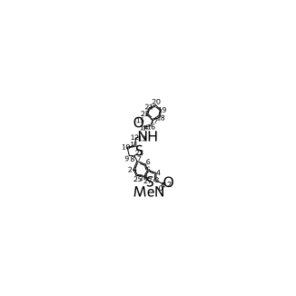 CNC(=O)c1cc2cc(C3CC=C(CNC(=O)Cc4ccccc4)S3)ccc2s1